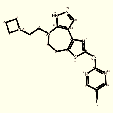 Fc1cnc(Nc2nc3c(s2)CCN(CCN2CCC2)c2[nH]ncc2-3)nc1